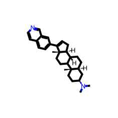 CN(C)[C@H]1CC[C@]2(C)C3CC[C@]4(C)C(c5ccc6ccncc6c5)=CC[C@H]4[C@@H]3CC[C@H]2C1